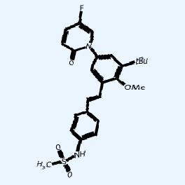 COc1c(/C=C/c2ccc(NS(C)(=O)=O)cc2)cc(-n2cc(F)ccc2=O)cc1C(C)(C)C